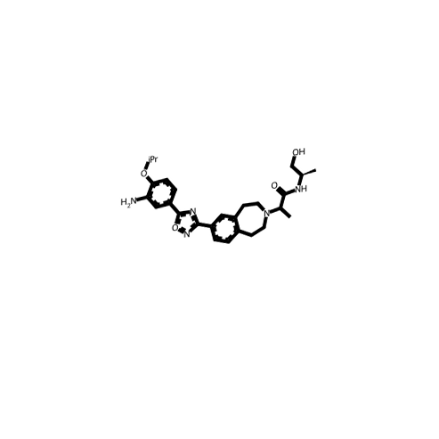 CC(C)Oc1ccc(-c2nc(-c3ccc4c(c3)CCN(C(C)C(=O)N[C@H](C)CO)CC4)no2)cc1N